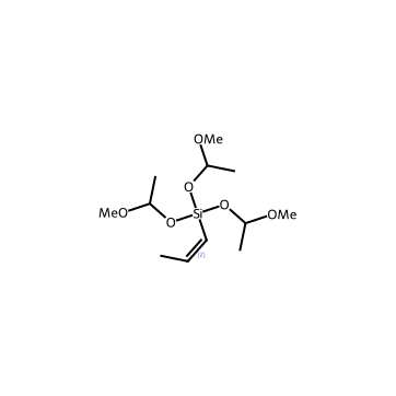 C/C=C\[Si](OC(C)OC)(OC(C)OC)OC(C)OC